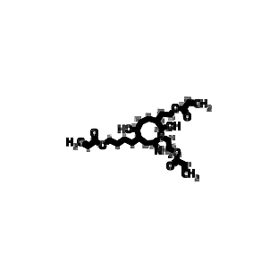 C=CC(=O)OCCCCC1CC(N)N(CCOC(=O)C=C)C(O)C(CCOC(=O)C=C)CCC1O